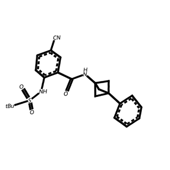 CC(C)(C)S(=O)(=O)Nc1ccc(C#N)cc1C(=O)NC12CC(c3ccccc3)(C1)C2